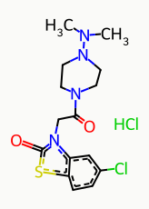 CN(C)N1CCN(C(=O)Cn2c(=O)sc3ccc(Cl)cc32)CC1.Cl